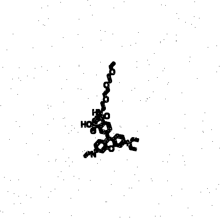 CC/N=c1\ccc2c(-c3ccc(S(=O)(=O)NCCOCCOCCOCC)c(S(=O)(=O)O)c3)c3ccc(N(CC)CC)cc3oc-2c1